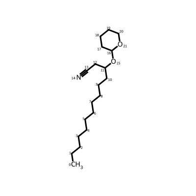 CCCCCCCCCCCC(CC#N)OC1CCCCO1